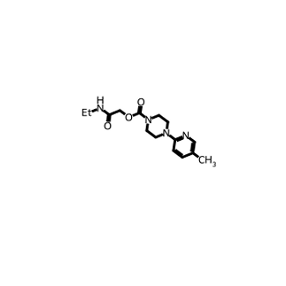 CCNC(=O)COC(=O)N1CCN(c2ccc(C)cn2)CC1